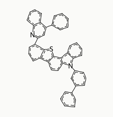 c1ccc(-c2cccc(-n3c4ccccc4c4c5sc6c(-c7cc(-c8ccccc8)c8ccccc8n7)cccc6c5ccc43)c2)cc1